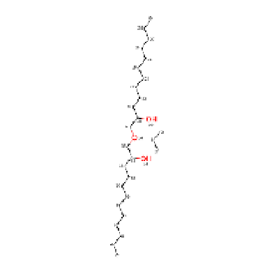 CCC.CCCCCCCCCCC(O)COCC(O)CCCCCCCCCC